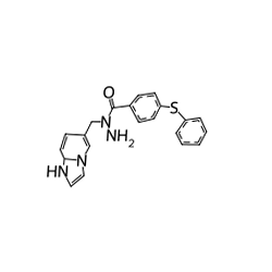 NN(CC1=CN2C=CNC2C=C1)C(=O)c1ccc(Sc2ccccc2)cc1